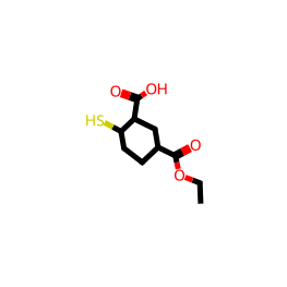 CCOC(=O)C1CCC(S)C(C(=O)O)C1